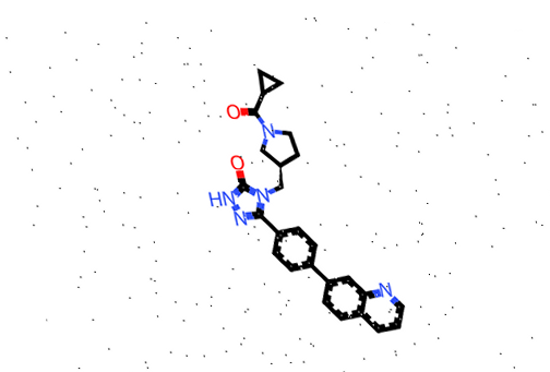 O=C(C1CC1)N1CC[C@@H](Cn2c(-c3ccc(-c4ccc5cccnc5c4)cc3)n[nH]c2=O)C1